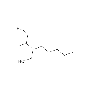 CCCCCC(CO)C(C)CO